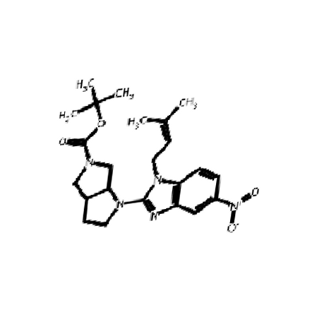 CC(C)=CCn1c(N2CCC3CN(C(=O)OC(C)(C)C)CC32)nc2cc([N+](=O)[O-])ccc21